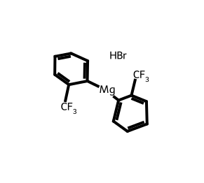 Br.FC(F)(F)c1cccc[c]1[Mg][c]1ccccc1C(F)(F)F